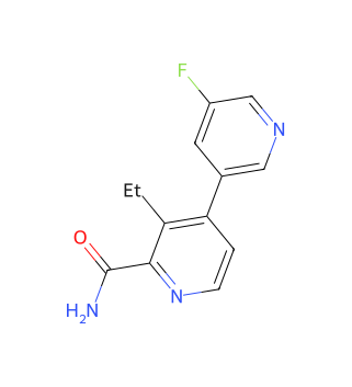 CCc1c(-c2cncc(F)c2)ccnc1C(N)=O